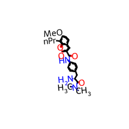 CCCc1c(OC)ccc2cc(C(=O)Nc3ccc(C[C@@H](N)C(=O)N(C)C)cc3)c(=O)oc12